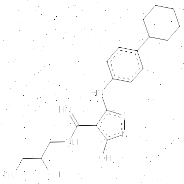 N=C(NCC(O)CO)c1c(O)nsc1Nc1ccc(C2CCCCC2)cc1